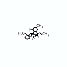 CC=CC1(C2CC(C)=CC(F)=C2/C(C)=C/C=C\CC)CC1(C)C=CCC